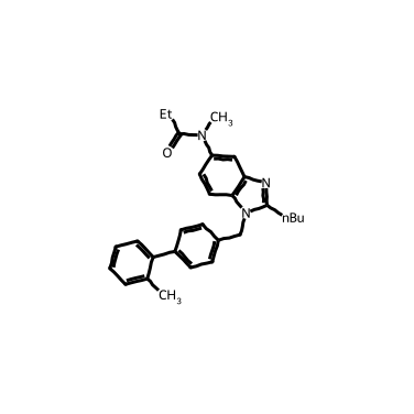 CCCCc1nc2cc(N(C)C(=O)CC)ccc2n1Cc1ccc(-c2ccccc2C)cc1